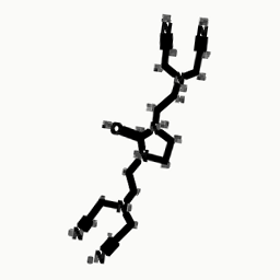 N#CCN(CC#N)CCN1CCN(CCN(CC#N)CC#N)C1=O